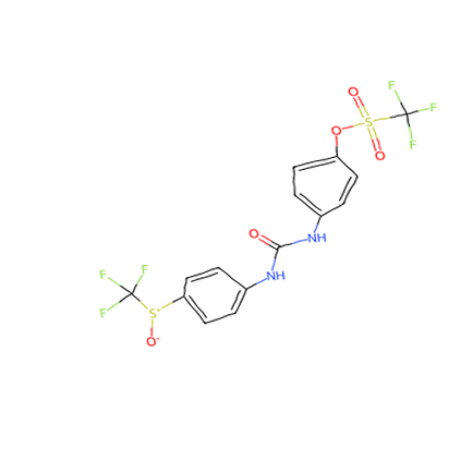 O=C(Nc1ccc(OS(=O)(=O)C(F)(F)F)cc1)Nc1ccc([S+]([O-])C(F)(F)F)cc1